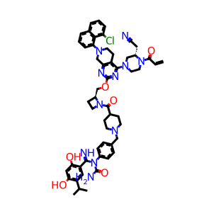 C=CC(=O)N1CCN(c2nc(OC[C@@H]3CCN3C(=O)C3CCN(Cc4ccc(N(C(=N)c5cc(C(C)C)c(O)cc5O)C(N)=O)cc4)CC3)nc3c2CCN(c2cccc4cccc(Cl)c24)C3)C[C@@H]1CC#N